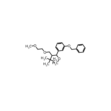 COCCOCC(C(OC)c1cccc(OCc2ccccc2)c1)C(C)(C)C